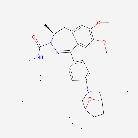 CNC(=O)N1N=C(c2ccc(N3CC4CCC(C3)O4)cc2)c2cc(OC)c(OC)cc2C[C@@H]1C